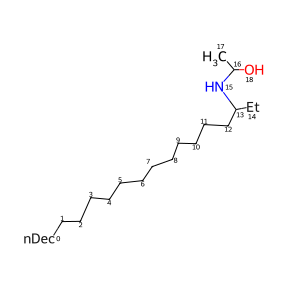 CCCCCCCCCCCCCCCCCCCCCCC(CC)NC(C)O